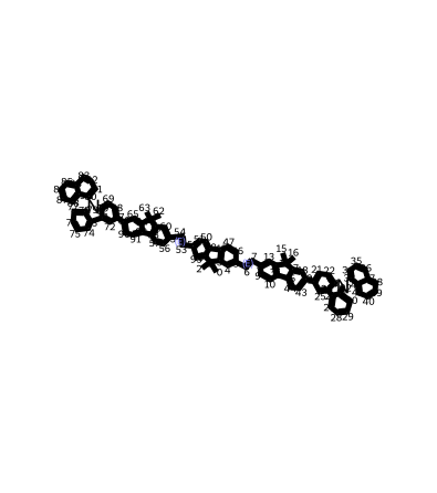 CC1(C)c2cc(/C=C/c3ccc4c(c3)C(C)(C)c3cc(-c5ccc6c(c5)c5ccccc5n6-c5cccc6ccccc56)ccc3-4)ccc2-c2ccc(/C=C/c3ccc4c(c3)C(C)(C)c3cc(-c5ccc6c(c5)c5ccccc5n6-c5cccc6ccccc56)ccc3-4)cc21